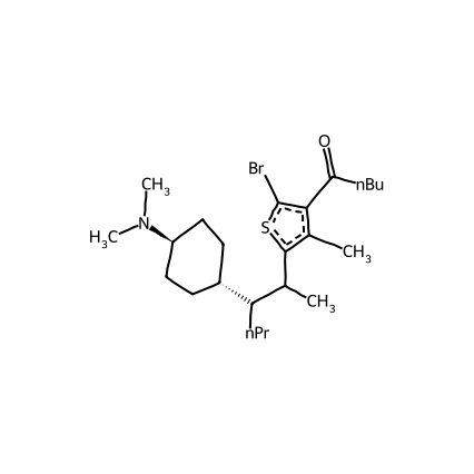 CCCCC(=O)c1c(Br)sc(C(C)C(CCC)[C@H]2CC[C@H](N(C)C)CC2)c1C